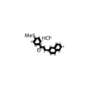 CSc1ccc(C(=O)C=Cc2ccc3ccccc3c2)cc1.Cl